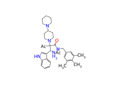 CC(=O)N(Cc1cc(C)c(C)c(C)c1)C(=O)C(C(C)=O)(C(N)c1c[nH]c2ccccc12)N1CCC(N2CCCCC2)CC1